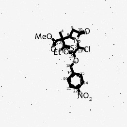 CCC(=S)C(C)(C(=O)OC)C1CC(=O)N1C(Cl)C(=O)OCc1ccc([N+](=O)[O-])cc1